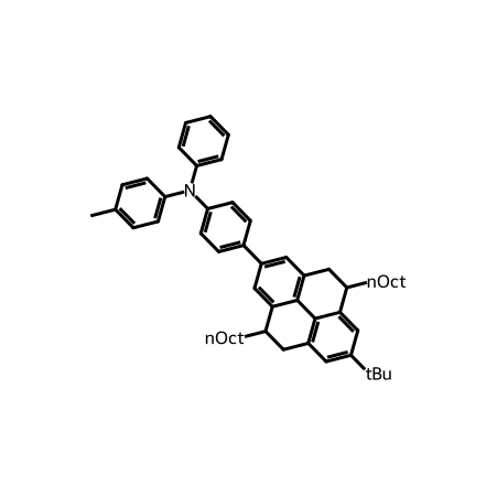 CCCCCCCCC1Cc2cc(C(C)(C)C)cc3c2-c2c(cc(-c4ccc(N(c5ccccc5)c5ccc(C)cc5)cc4)cc21)CC3CCCCCCCC